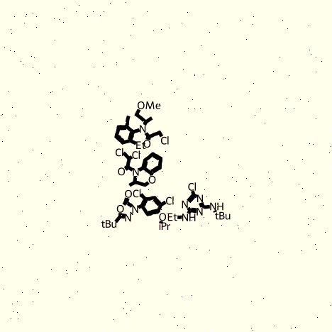 CC(C)Oc1cc(-n2nc(C(C)(C)C)oc2=O)c(Cl)cc1Cl.CC1COc2ccccc2N1C(=O)C(Cl)Cl.CCNc1nc(Cl)nc(NC(C)(C)C)n1.CCc1cccc(C)c1N(C(=O)CCl)C(C)COC